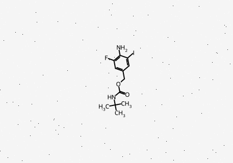 CC(C)(C)NC(=O)OCc1cc(F)c(N)c(I)c1